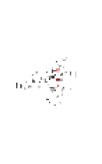 Cc1cc(-c2ccccc2)c2c(c1)[CH]([Zr]([CH3])([CH3])(=[SiH2])[CH]1C(c3ccco3)=Cc3c(-c4ccccc4)cc(C)cc31)C(c1ccco1)=C2.Cl.Cl